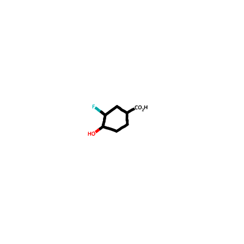 O=C(O)C1CCC(O)C(F)C1